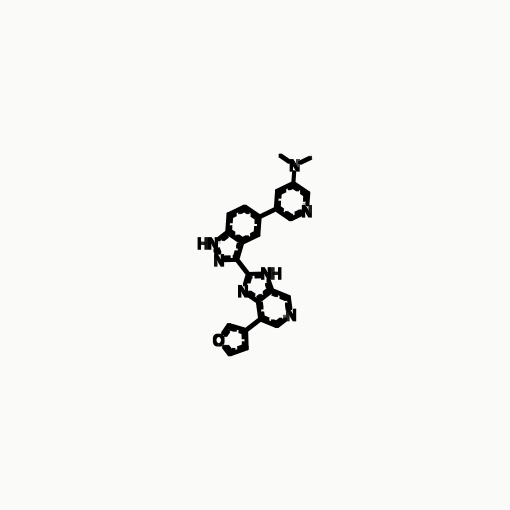 CN(C)c1cncc(-c2ccc3[nH]nc(-c4nc5c(-c6ccoc6)cncc5[nH]4)c3c2)c1